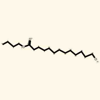 CCCCOC(=O)CCCCCCCCCCCC[O]